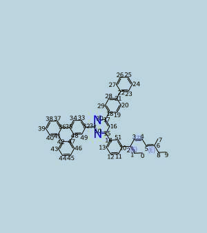 C\C=C(/C=C\C=C(/C)CC)c1cccc(-c2cc(-c3ccc(-c4ccccc4)cc3)nc(-c3ccc4c5ccccc5c5ccccc5c4c3)n2)c1